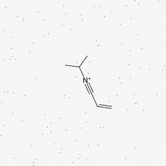 C=CC#[N+]C(C)C